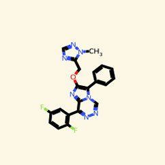 Cn1ncnc1COc1nc2c(-c3cc(F)ccc3F)nncn2c1-c1ccccc1